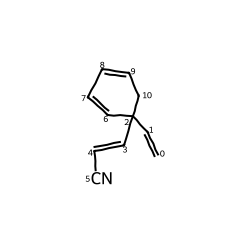 C=CC1(C=CC#N)C=CC=CC1